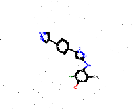 Cc1cc(O)c(F)cc1Nc1cc(-c2ccc(-c3cn[nH]c3)cc2)[nH]n1